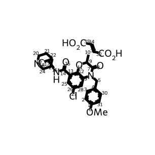 COc1ccc(CN2C(=O)C(C)Oc3c(C(=O)NC4CN5CCC4CC5)cc(Cl)cc32)cc1.O=C(O)C=CC(=O)O